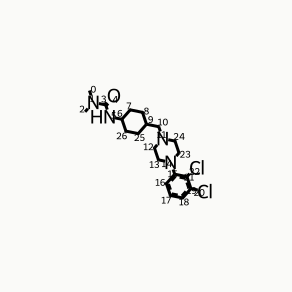 CN(C)C(=O)NC1CCC(CN2CCN(c3cccc(Cl)c3Cl)CC2)CC1